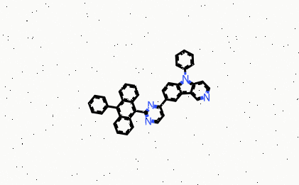 c1ccc(-c2c3ccccc3c(-c3nccc(-c4ccc5c(c4)c4cnccc4n5-c4ccccc4)n3)c3ccccc23)cc1